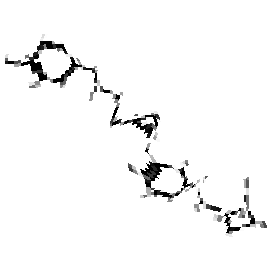 Cc1ccc(COCC[C@H]2C[C@@H]2c2cncc(OC[C@@H]3CCN3)c2)cc1